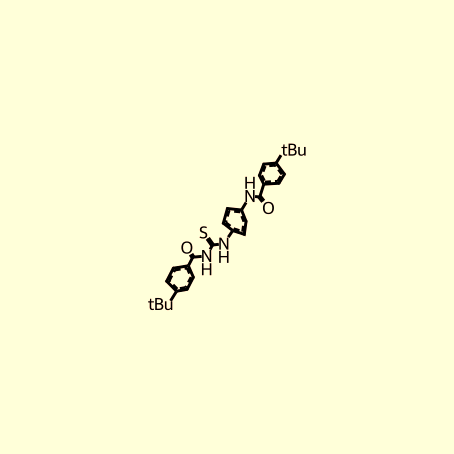 CC(C)(C)c1ccc(C(=O)NC(=S)Nc2ccc(NC(=O)c3ccc(C(C)(C)C)cc3)cc2)cc1